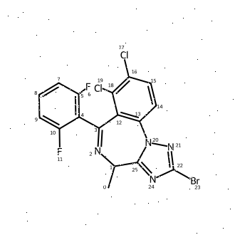 CC1N=C(c2c(F)cccc2F)c2c(ccc(Cl)c2Cl)-n2nc(Br)nc21